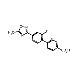 Cc1nc(-c2ccc(-c3ccc(C(=O)O)cn3)c(F)c2)no1